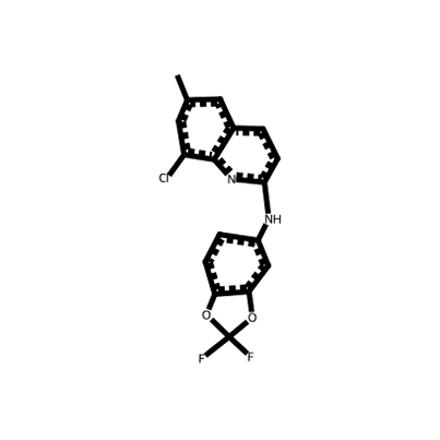 Cc1cc(Cl)c2nc(Nc3ccc4c(c3)OC(F)(F)O4)ccc2c1